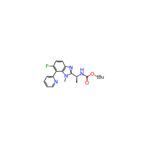 C[C@H](NC(=O)OC(C)(C)C)c1nc2ccc(F)c(-c3ccccn3)c2n1C